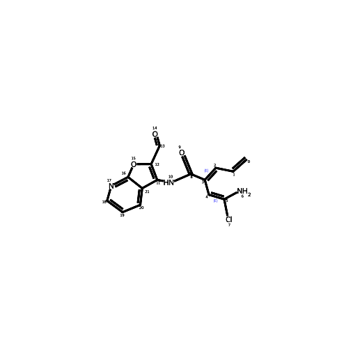 C=C/C=C(\C=C(/N)Cl)C(=O)Nc1c(C=O)oc2ncccc12